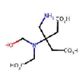 NCC(CC(=O)O)(CC(=O)O)N(CO)CC(=O)O